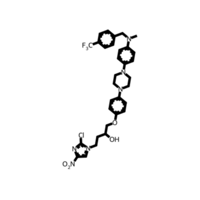 CN(Cc1ccc(C(F)(F)F)cc1)c1ccc(N2CCN(c3ccc(OCC(O)CCn4cc([N+](=O)[O-])nc4Cl)cc3)CC2)cc1